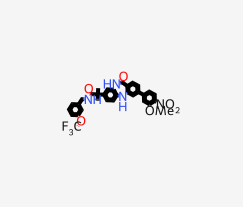 COc1cc(-c2ccc3c(c2)Nc2ccc(C(C)(C)C(=O)NCc4cccc(OC(F)(F)F)c4)cc2NC3=O)ccc1[N+](=O)[O-]